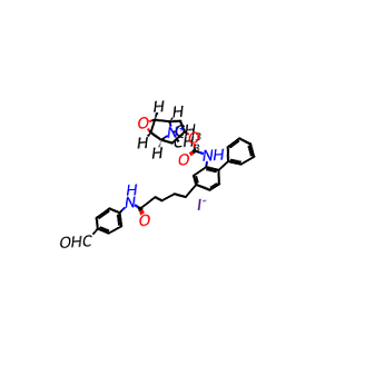 C[N+]1(C)[C@@H]2C[C@@H](OC(=O)Nc3cc(CCCCC(=O)Nc4ccc(C=O)cc4)ccc3-c3ccccc3)C[C@H]1[C@@H]1O[C@@H]12.[I-]